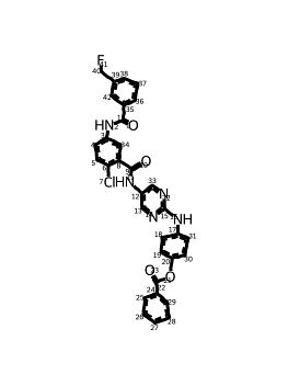 O=C(Nc1ccc(Cl)c(C(=O)Nc2cnc(Nc3ccc(OC(=O)c4ccccc4)cc3)nc2)c1)c1cccc(CF)c1